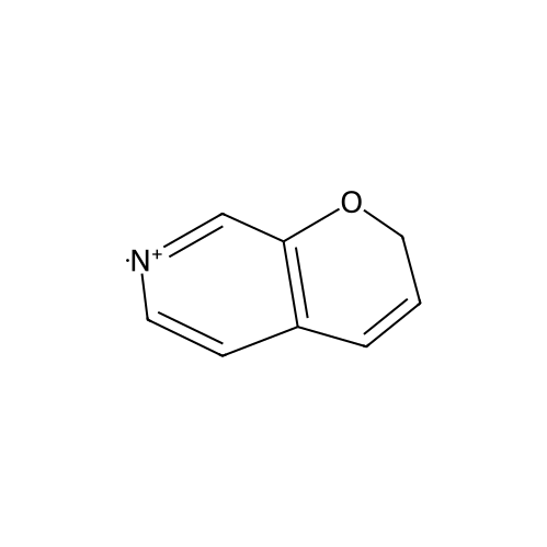 C1=CC2=C(C=[N+]C=C2)OC1